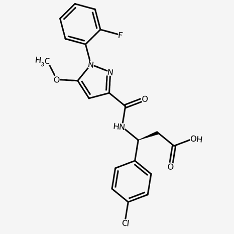 COc1cc(C(=O)N[C@@H](CC(=O)O)c2ccc(Cl)cc2)nn1-c1ccccc1F